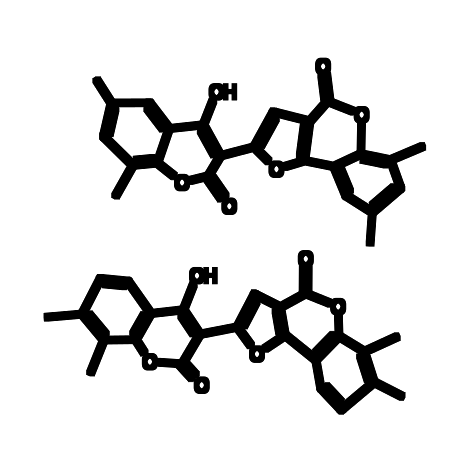 Cc1cc(C)c2oc(=O)c(-c3cc4c(=O)oc5c(C)cc(C)cc5c4o3)c(O)c2c1.Cc1ccc2c(O)c(-c3cc4c(=O)oc5c(C)c(C)ccc5c4o3)c(=O)oc2c1C